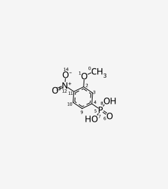 COc1cc(P(=O)(O)O)ccc1[N+](=O)[O-]